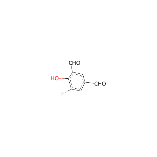 O=Cc1cc(F)c(O)c(C=O)c1